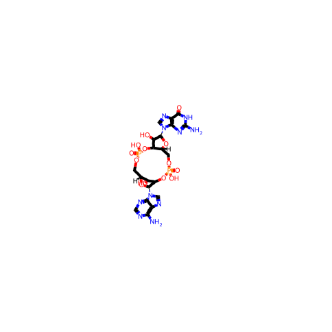 Nc1nc2c(ncn2[C@@H]2O[C@@H]3COP(=O)(O)OC4C(O)[C@@H](COP(=O)(O)OC3C2O)O[C@H]4n2cnc3c(N)ncnc32)c(=O)[nH]1